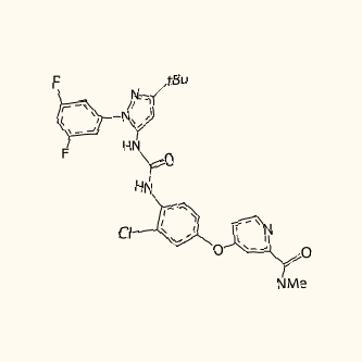 CNC(=O)c1cc(Oc2ccc(NC(=O)Nc3cc(C(C)(C)C)nn3-c3cc(F)cc(F)c3)c(Cl)c2)ccn1